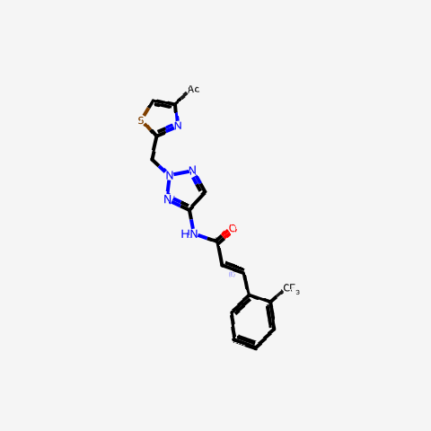 CC(=O)c1csc(Cn2ncc(NC(=O)/C=C/c3ccccc3C(F)(F)F)n2)n1